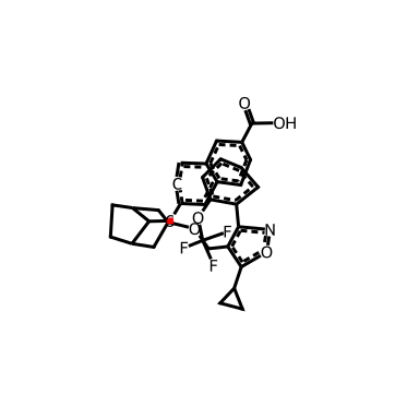 O=C(O)c1ccc2cc(SC3C4CCC3CC(OCc3c(-c5ccccc5OC(F)(F)F)noc3C3CC3)C4)ccc2c1